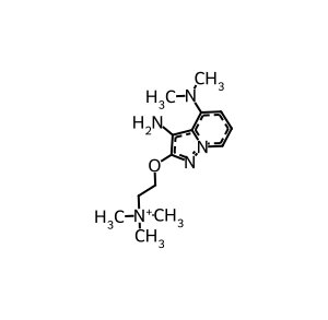 CN(C)c1cccn2nc(OCC[N+](C)(C)C)c(N)c12